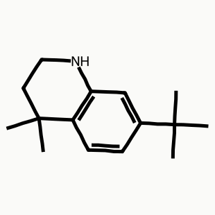 CC(C)(C)c1ccc2c(c1)NCCC2(C)C